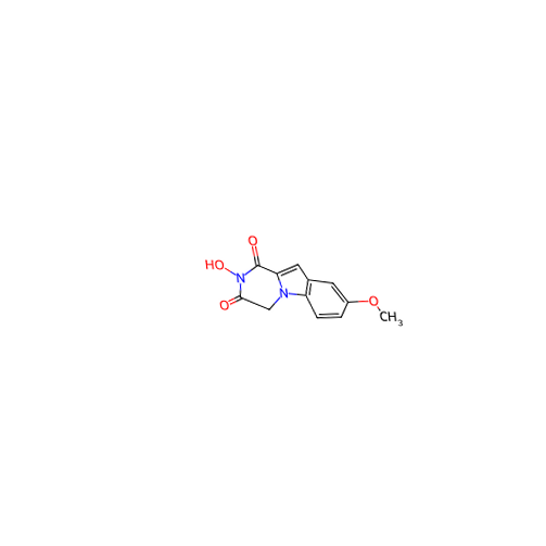 COc1ccc2c(c1)cc1n2CC(=O)N(O)C1=O